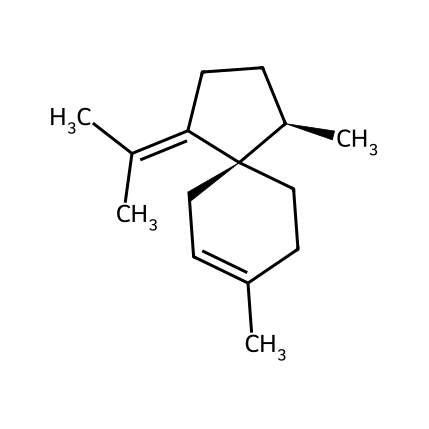 CC1=CC[C@@]2(CC1)C(=C(C)C)CC[C@H]2C